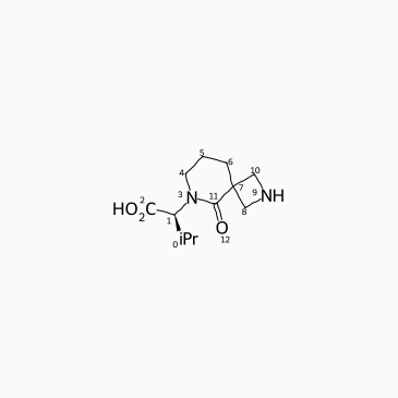 CC(C)[C@@H](C(=O)O)N1CCCC2(CNC2)C1=O